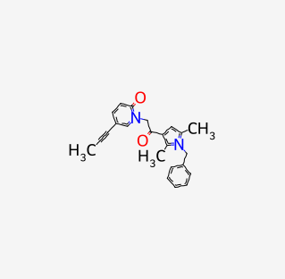 CC#Cc1ccc(=O)n(CC(=O)c2cc(C)n(Cc3ccccc3)c2C)c1